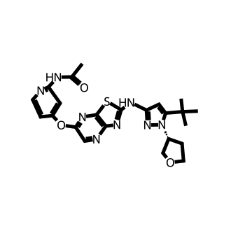 CC(=O)Nc1cc(Oc2cnc3nc(Nc4cc(C(C)(C)C)n([C@@H]5CCOC5)n4)sc3n2)ccn1